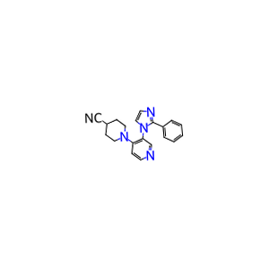 N#CC1CCN(c2ccncc2-n2ccnc2-c2ccccc2)CC1